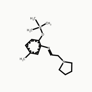 Cc1ccc(O[Si](C)(C)C)c(N=CCN2CCCC2)c1